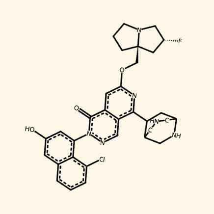 O=c1c2cc(OC[C@@]34CCCN3C[C@H](F)C4)nc(C3CC4CNCC3CN4)c2cnn1-c1cc(O)cc2cccc(Cl)c12